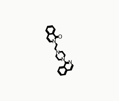 O=c1c2ccccc2ccn1CCN1CCN(c2nccc3ccccc23)CC1